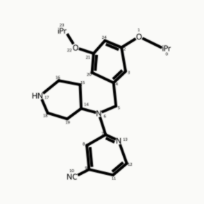 CC(C)Oc1cc(CN(c2cc(C#N)ccn2)C2CCNCC2)cc(OC(C)C)c1